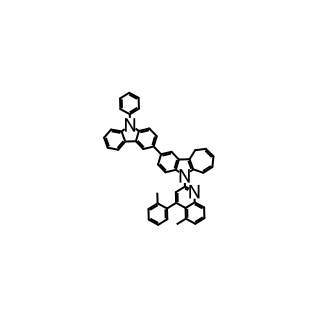 Cc1ccccc1-c1cc(-n2c3c(c4cc(-c5ccc6c(c5)c5ccccc5n6-c5ccccc5)ccc42)CC=CC=C3)nc2cccc(C)c12